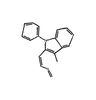 C=N/C=C\c1c(C)c2ccccc2n1-c1ccccc1